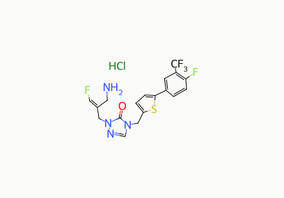 Cl.NC/C(=C\F)Cn1ncn(Cc2ccc(-c3ccc(F)c(C(F)(F)F)c3)s2)c1=O